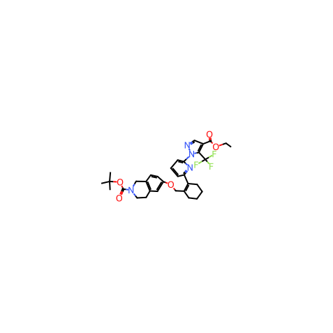 CCOC(=O)c1cnn(-c2cccc(C3=C(COc4ccc5c(c4)CCN(C(=O)OC(C)(C)C)C5)CCCC3)n2)c1C(F)(F)F